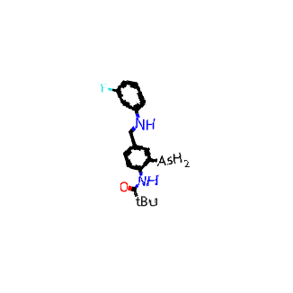 CC(C)(C)C(=O)Nc1ccc(CNc2cccc(F)c2)cc1[AsH2]